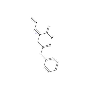 C=C/C=C(/CC(=O)Cc1ccccc1)C(=C)Cl